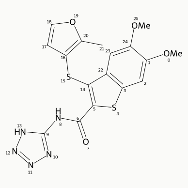 COc1cc2sc(C(=O)Nc3nnn[nH]3)c(Sc3ccoc3C)c2cc1OC